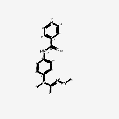 CON=C(C)N(C)c1ccc(NC(=O)c2ccncc2)cc1